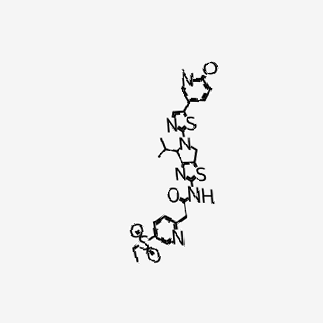 CCS(=O)(=O)c1ccc(CC(=O)Nc2nc3c(s2)CN(c2ncc(-c4ccc(=O)n(C)c4)s2)C3C(C)C)nc1